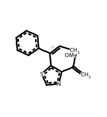 C=C(OC)c1ncsc1/C(=C\C)c1ccccc1